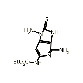 CCOC(=O)Nc1cc2c([nH]c(=S)n2N)c(N)n1